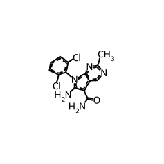 Cc1ncc2c(C(N)=O)c(N)n(-c3c(Cl)cccc3Cl)c2n1